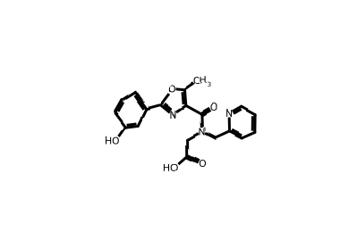 Cc1oc(-c2cccc(O)c2)nc1C(=O)N(CC(=O)O)Cc1ccccn1